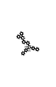 C1=CCC(c2ccc(C3NC(c4ccc(C5=CCCC=C5)cc4)=NC(C4CC=CC(C5C=C(C6=NCC(C7=CCCCC7)C(C7CC=CCC7)C6)CCC5)C4)N3)cc2)C=C1